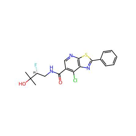 CC(C)(O)[C@H](F)CNC(=O)c1cnc2sc(-c3ccccc3)nc2c1Cl